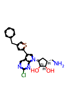 NC[C@H]1C[C@@H](n2cc(-c3cc(Cc4ccccc4)cs3)c3cnc(Cl)nc32)[C@H](O)[C@@H]1O